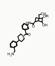 CCC12CC(C(=O)Nc3cccc(C(=O)N4CCC(c5cccc(CN)c5)CC4)c3)C1C(O)C2O